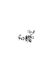 COc1cc(F)cc(C(=O)Nc2cnn3c2C(=O)N(c2ccc(C(F)(F)F)cc2)C[C@@H]3C)c1